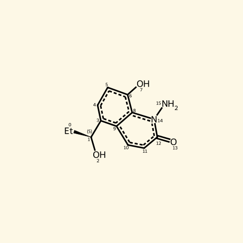 CC[C@H](O)c1ccc(O)c2c1ccc(=O)n2N